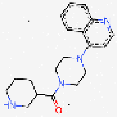 O=C(C1CCCNC1)N1CCN(c2ccnc3ccccc23)CC1